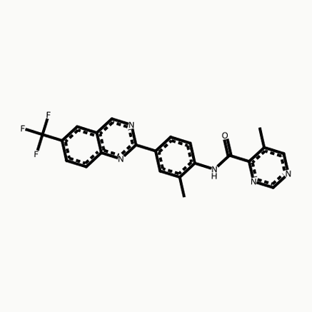 Cc1cc(-c2ncc3cc(C(F)(F)F)ccc3n2)ccc1NC(=O)c1ncncc1C